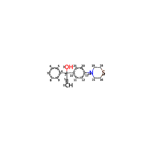 C#CC(O)(c1ccccc1)c1ccc(N2CCSCC2)cc1